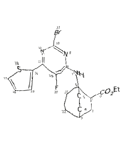 CCOC(=O)C1CC2CCC1(Nc1nc(Br)nc(-c3cccs3)c1F)CC2